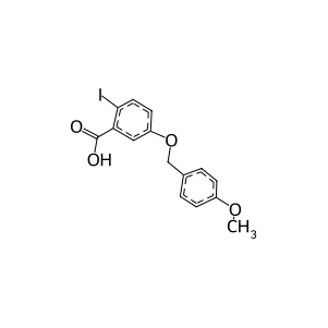 COc1ccc(COc2ccc(I)c(C(=O)O)c2)cc1